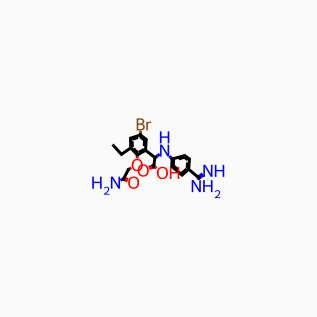 CCc1cc(Br)cc(C(Nc2ccc(C(=N)N)cc2)C(=O)O)c1OCC(N)=O